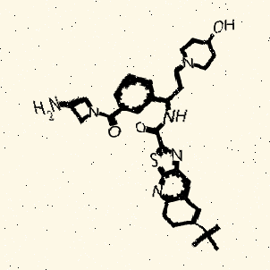 CC(C)(C)[C@H]1CCc2nc3sc(C(=O)NC(CCN4CCC(O)CC4)c4cccc(C(=O)N5CC(N)C5)c4)nc3cc2C1